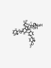 CCOc1ccc(-c2ccc(Cn3c(CC(C)(C)C(=O)O)c(SC(C)(C)C)c4cc(OCc5ccccn5)ccc43)cc2)cn1.[NaH]